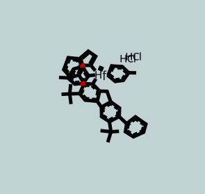 Cl.Cl.[CH2]=[Hf]([C]1=CC=CC1)([c]1ccc(C)cc1)([c]1ccc(C)cc1)[c]1c2c(cc(C(C)(C)C)c1-c1ccccc1)-c1cc(C(C)(C)C)c(-c3ccccc3)cc1C2